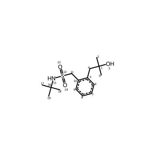 CC(C)(O)Cc1ccccc1CS(=O)(=O)NC(C)(C)C